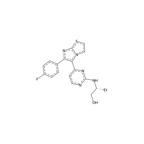 CC[C@H](CO)Nc1nccc(-c2c(-c3ccc(F)cc3)nc3sccn23)n1